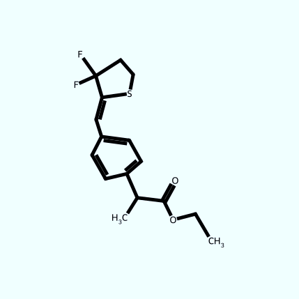 CCOC(=O)C(C)c1ccc(/C=C2\SCCC2(F)F)cc1